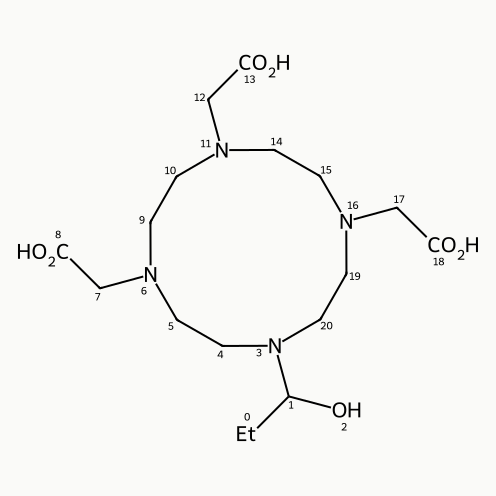 CCC(O)N1CCN(CC(=O)O)CCN(CC(=O)O)CCN(CC(=O)O)CC1